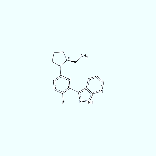 NC[C@@H]1CCCN1c1ccc(F)c(-c2n[nH]c3ncccc23)n1